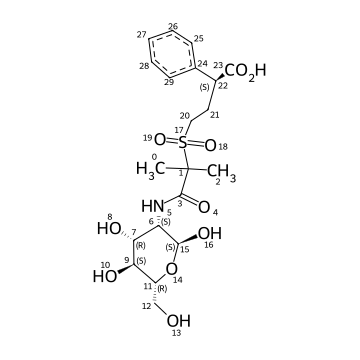 CC(C)(C(=O)N[C@H]1[C@@H](O)[C@H](O)[C@@H](CO)O[C@@H]1O)S(=O)(=O)CC[C@H](C(=O)O)c1ccccc1